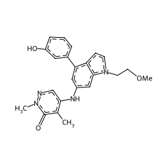 COCCn1ccc2c(-c3cccc(O)c3)cc(Nc3cnn(C)c(=O)c3C)cc21